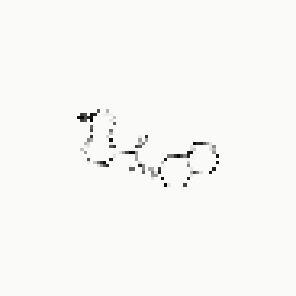 O=C(N[C@H]1CCc2ccccc2C1)c1cccc2[nH]ccc12